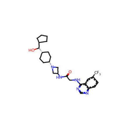 O=C(CNc1ncnc2ccc(C(F)(F)F)cc12)NC1CN([C@H]2CC[C@@H](C(O)C3CCCC3)CC2)C1